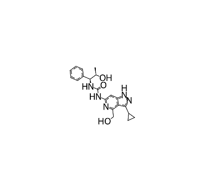 C[C@@H](O)[C@@H](NC(=O)Nc1cc2[nH]nc(C3CC3)c2c(CO)n1)c1ccccc1